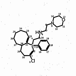 ClC1=CS(CCNCCN2CCOCC2)(c2ccccc2)/C2=C/CCCCCC2CC1